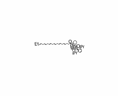 CCC=CCC=CCC=CCC=CCC=CCC=CCCC(=O)NC1CCCCC1NC(=O)Nc1c(C(C)C)cccc1C(C)C